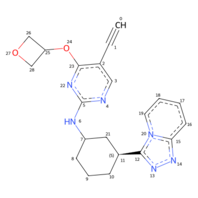 C#Cc1cnc(NC2CCC[C@H](c3nnc4ccccn34)C2)nc1OC1COC1